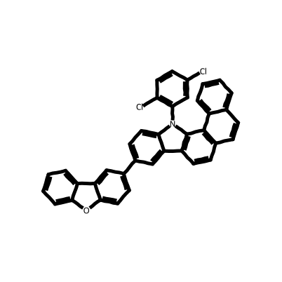 Clc1ccc(Cl)c(-n2c3ccc(-c4ccc5oc6ccccc6c5c4)cc3c3ccc4ccc5ccccc5c4c32)c1